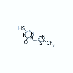 O=c1nc(S)cnn1Cc1cnc(C(F)(F)F)s1